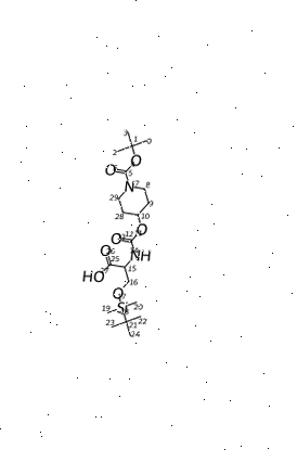 CC(C)(C)OC(=O)N1CCC(OC(=O)NC(CO[Si](C)(C)C(C)(C)C)C(=O)O)CC1